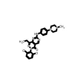 CCc1nn(-c2c(Cl)cccc2Cl)c(=O)c2cnc(Nc3ccc(N4CCN(C)CC4)cc3)nc12